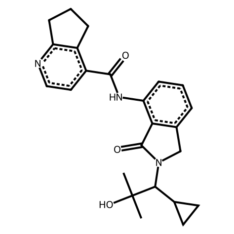 CC(C)(O)C(C1CC1)N1Cc2cccc(NC(=O)c3ccnc4c3CCC4)c2C1=O